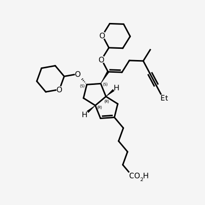 CCC#CC(C)CC=C(OC1CCCCO1)[C@H]1[C@@H]2CC(CCCCC(=O)O)=C[C@@H]2C[C@@H]1OC1CCCCO1